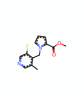 COC(=O)c1cccn1Cc1c(C)cncc1F